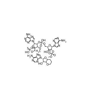 COC1C(OP(=O)(O)OC[C@H]2O[C@@H](n3cnc4c(N)ncnc43)C(OP(=O)(O)OC[C@]34CCCOC3C(O)[C@H](n3cnc5c(N)ncnc53)O4)C2O)[C@H](n2cnc3c(N)ncnc32)O[C@@H]1COP(O)(O)=S